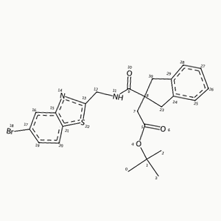 CC(C)(C)OC(=O)CC1(C(=O)NCc2nc3cc(Br)ccc3s2)Cc2ccccc2C1